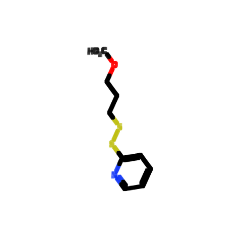 O=C(O)OCCCSSc1ccccn1